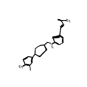 C=C(/C=C/c1cccc(NCC2CCC(c3ccc(CC)c(C)c3)CC2)c1)CC